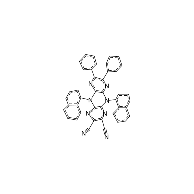 N#Cc1nc2c(nc1C#N)N(c1cccc3ccccc13)c1nc(-c3ccccc3)c(-c3ccccc3)nc1N2c1cccc2ccccc12